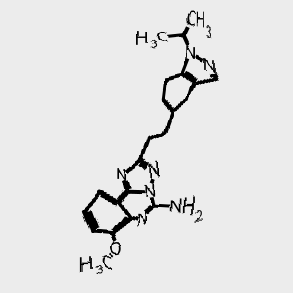 COc1cccc2c1nc(N)n1nc(CCC3CCc4c(cnn4C(C)C)C3)nc21